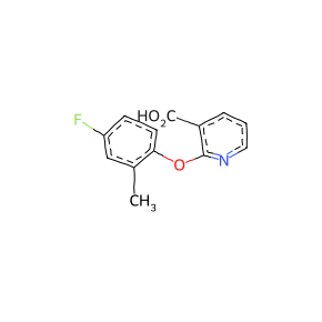 Cc1cc(F)ccc1Oc1ncccc1C(=O)O